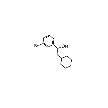 OC(CC1CCCCC1)c1cccc(Br)c1